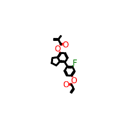 C=CC(=O)Oc1ccc(-c2ccc(OC(=O)C(=C)C)c3c2CCC3)c(F)c1